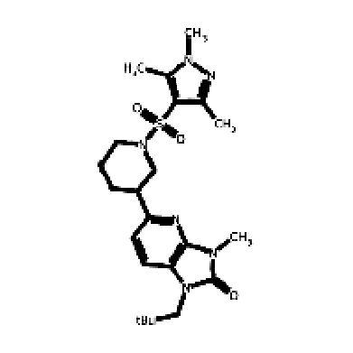 Cc1nn(C)c(C)c1S(=O)(=O)N1CCCC(c2ccc3c(n2)n(C)c(=O)n3CC(C)(C)C)C1